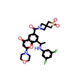 CC(Nc1cc(F)cc(F)c1)c1cc(C(=O)N2CC3(C2)CS(=O)(=O)C3)cc2c(=O)cc(N3CCOCC3)oc12